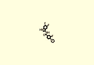 O=C(Nc1c[nH]c2cc(F)c(F)cc12)c1ccc(N2CCCC2)c(F)c1